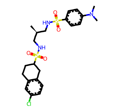 C[C@@H](CNS(=O)(=O)c1ccc(N(C)C)cc1)CNS(=O)(=O)C1CCc2cc(Cl)ccc2C1